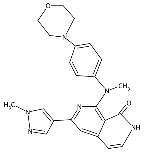 CN(c1ccc(N2CCOCC2)cc1)c1nc(-c2cnn(C)c2)cc2cc[nH]c(=O)c12